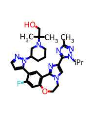 Cc1nc(-c2cn3c(n2)-c2cc(-c4ccnn4C4CCCN(C(C)(C)CO)C4)c(F)cc2OCC3)n(C(C)C)n1